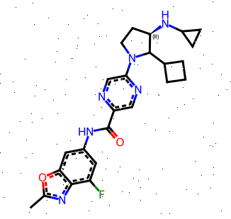 Cc1nc2c(F)cc(NC(=O)c3cnc(N4CC[C@@H](NC5CC5)C4C4CCC4)cn3)cc2o1